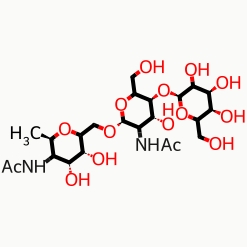 CC(=O)NC1[C@H](OCC2O[C@H](C)C(NC(C)=O)[C@@H](O)[C@H]2O)OC(CO)[C@@H](O[C@@H]2OC(CO)[C@H](O)[C@H](O)C2O)[C@@H]1O